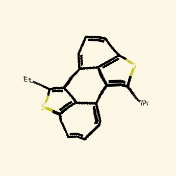 CCc1sc2cccc3c4c(C(C)C)sc5cccc(c1c23)c54